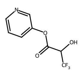 O=C(Oc1cccnc1)C(O)C(F)(F)F